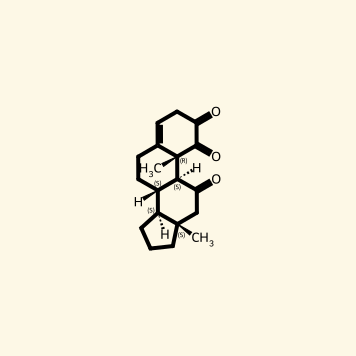 C[C@@]12CCC[C@H]1[C@@H]1CCC3=CCC(=O)C(=O)[C@]3(C)[C@H]1C(=O)C2